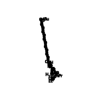 CCCN(CCC1CN(CC)C(=O)N1)C(=O)C1=Cc2ccc(-c3cnc(CNC(=O)CCOCCOCCOCCOCCOCCOCCOCCOCCOCCOCCC(=O)OC(C)(C)C)nc3)cc2N=C(N)C1